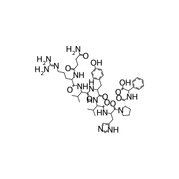 CC(C)C(NC(=O)C(CCCN=C(N)N)NC(=O)CCC(N)=O)C(=O)NC(Cc1ccc(O)cc1)C(=O)NC(C(=O)NC(Cc1cnc[nH]1)C(=O)N1CCC[C@H]1C(=O)NC(C(=O)O)c1ccccc1)C(C)C